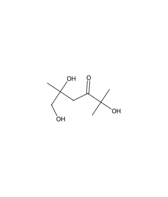 CC(O)(CO)CC(=O)C(C)(C)O